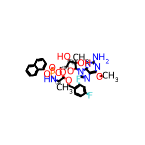 COc1nc(N)nc2c1ncn2C1O[C@H](COP(=O)(N[C@@H](C)C(=O)OCc2ccc(F)cc2F)Oc2cccc3ccccc23)[C@@H](O)[C@@]1(C)O